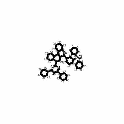 O=P(c1ccccc1)(c1ccccc1)c1cccc(-c2nc3ccccc3c3c2cc(-c2nc(-c4ccccc4)cc(-c4ccccc4)n2)c2ccccc23)c1